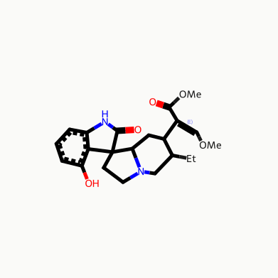 CCC1CN2CCC3(C(=O)Nc4cccc(O)c43)C2CC1/C(=C\OC)C(=O)OC